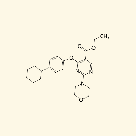 CCOC(=O)c1cnc(N2CCOCC2)nc1Oc1ccc(C2CCCCC2)cc1